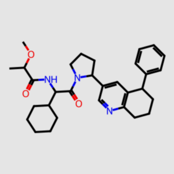 COC(C)C(=O)NC(C(=O)N1CCCC1c1cnc2c(c1)C(c1ccccc1)CCC2)C1CCCCC1